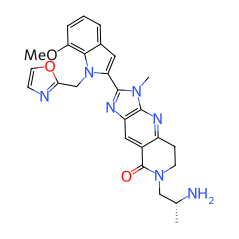 COc1cccc2cc(-c3nc4cc5c(nc4n3C)CCN(C[C@@H](C)N)C5=O)n(Cc3ncco3)c12